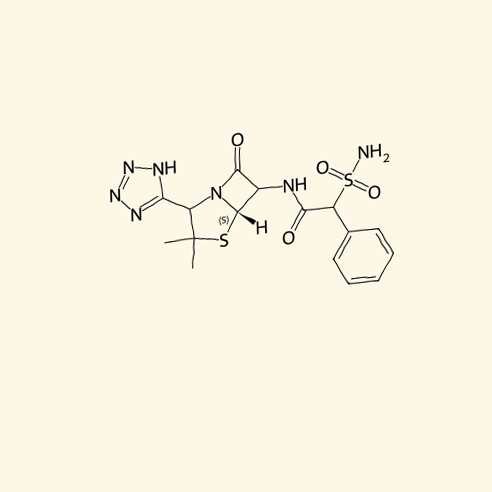 CC1(C)S[C@H]2C(NC(=O)C(c3ccccc3)S(N)(=O)=O)C(=O)N2C1c1nnn[nH]1